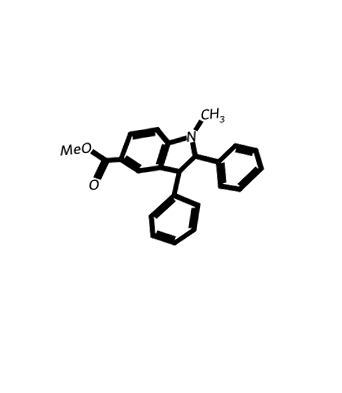 COC(=O)c1ccc2c(c1)C(c1ccccc1)C(c1ccccc1)N2C